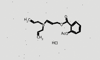 C=CCN(C=CCOC(=O)c1ccccc1OC(C)=O)CC=C.Cl